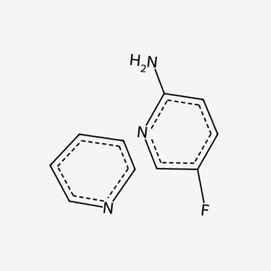 Nc1ccc(F)cn1.c1ccncc1